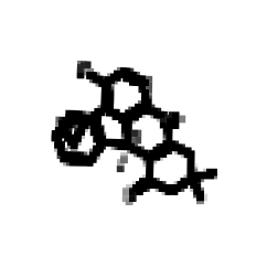 CC1(C)CC(=O)C2=C(C1)Nc1ncc(F)c(C3CC3)c1[C@]2(C)c1ccccc1